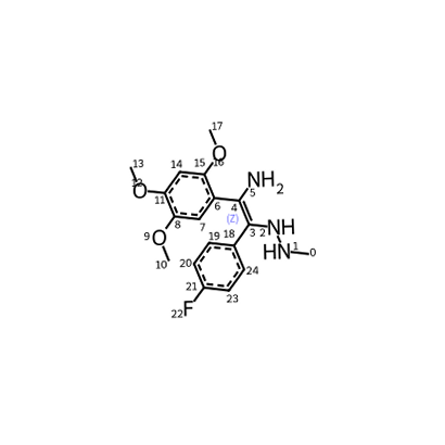 CNN/C(=C(\N)c1cc(OC)c(OC)cc1OC)c1ccc(F)cc1